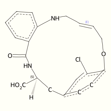 O=C1N[C@H](C(=O)O)Cc2ccc(c(Cl)c2)OC/C=C/CNc2ccccc21